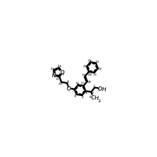 CC(CO)c1ccc(OCCc2ncco2)cc1C=Cc1ccccc1